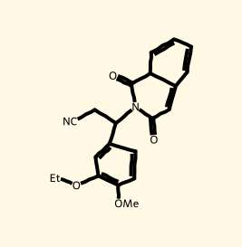 CCOc1cc(C(CC#N)N2C(=O)C=C3C=CC=CC3C2=O)ccc1OC